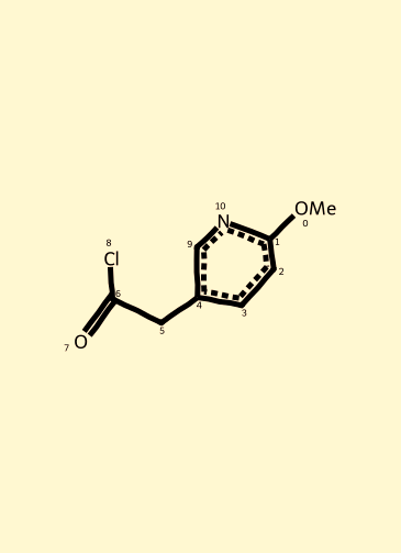 COc1ccc(CC(=O)Cl)cn1